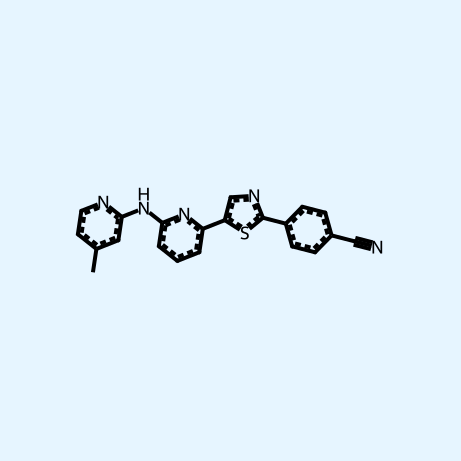 Cc1ccnc(Nc2cccc(-c3cnc(-c4ccc(C#N)cc4)s3)n2)c1